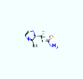 CCc1nccnc1C(C)CC(N)=O